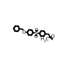 CC1(Cc2ccc(S(=O)(=O)c3ccc(OCc4ccccc4)cc3)cc2)CO1